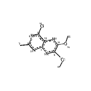 COc1nc2nc(C)nc(Cl)c2nc1OC